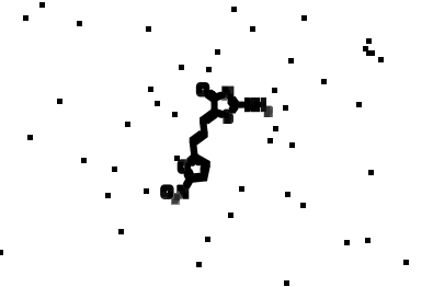 NC1=NC(=O)C(=CC=Cc2ccc([N+](=O)[O-])o2)S1